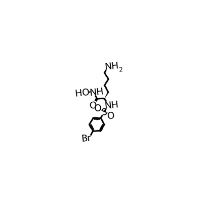 NCCCC[C@@H](NS(=O)(=O)c1ccc(Br)cc1)C(=O)NO